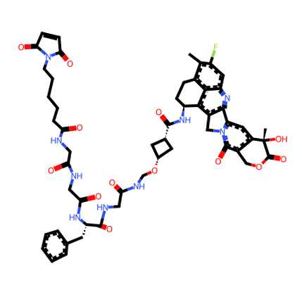 Cc1c(F)cc2nc3c(c4c2c1CC[C@@H]4NC(=O)[C@H]1C[C@@H](OCNC(=O)CNC(=O)[C@H](Cc2ccccc2)NC(=O)CNC(=O)CNC(=O)CCCCCN2C(=O)C=CC2=O)C1)Cn1c-3cc2c(c1=O)COC(=O)[C@@]2(C)O